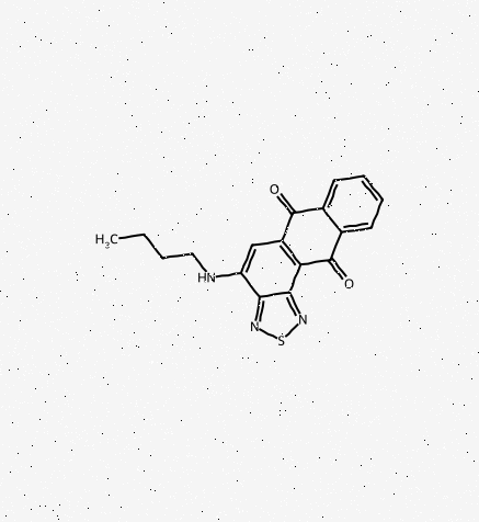 CCCCNc1cc2c(c3nsnc13)C(=O)c1ccccc1C2=O